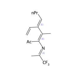 C=CC(=C\CCC)/C(C)=C(/N=C(\C)C(F)(F)F)C(C)=O